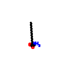 CCCCCCCCCCCCCCCCCC(N)(C(C)=O)C(C)=O